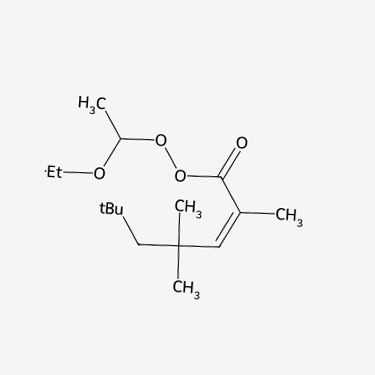 C[CH]OC(C)OOC(=O)/C(C)=C\C(C)(C)CC(C)(C)C